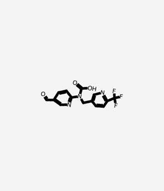 O=Cc1ccc(N(Cc2ccc(C(F)(F)F)nc2)C(=O)O)nc1